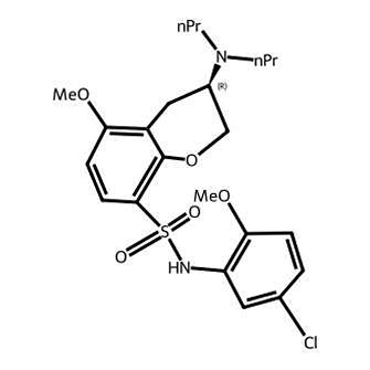 CCCN(CCC)[C@H]1COc2c(S(=O)(=O)Nc3cc(Cl)ccc3OC)ccc(OC)c2C1